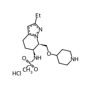 CCc1cc2n(n1)[C@@H](COC1CCNCC1)[C@@H](NS(C)(=O)=O)CC2.Cl